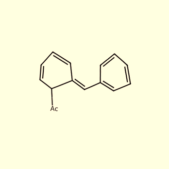 CC(=O)C1C=CC=CC1=Cc1ccccc1